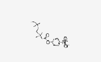 CCC(C)(C)CCC(C)(C)CC(=O)Oc1ccc([N+](=O)[O-])cc1